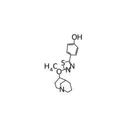 C.Oc1ccc(-c2nnc(OC3CCN4CCCC3C4)s2)cc1